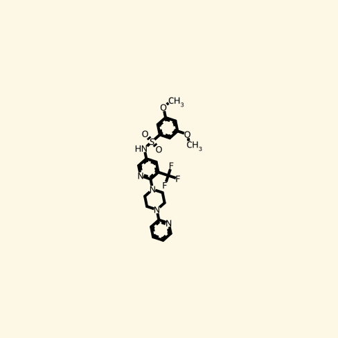 COc1cc(OC)cc(S(=O)(=O)Nc2cnc(N3CCN(c4ccccn4)CC3)c(C(F)(F)F)c2)c1